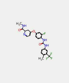 CNC(=O)C1CC(Oc2ccc(NC(=O)Nc3ccc(C)c(C(F)(F)F)c3)c(F)c2)=CC=N1